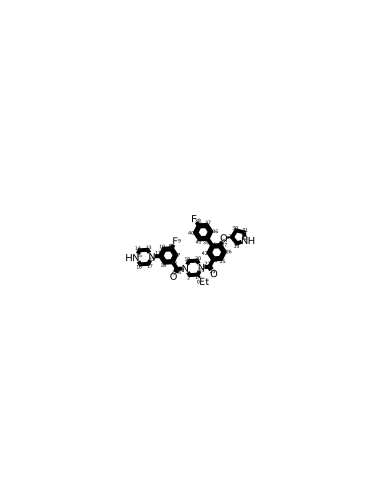 CC[C@H]1CN(C(=O)c2cc(F)cc(N3CCNCC3)c2)CCN1C(=O)c1ccc(O[C@H]2CCNC2)c(-c2ccc(F)cc2)c1